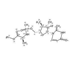 C=C1NC(=O)C=CN1[C@@H]1O[C@H](CO[P@](C)(=O)N[C@@H](C)C(=O)OC(C)C)[C@@H](C)[C@@]1(C)F